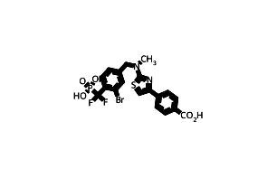 CN(Cc1ccc(C(F)(F)P(=O)(O)O)c(Br)c1)c1nc(-c2ccc(C(=O)O)cc2)cs1